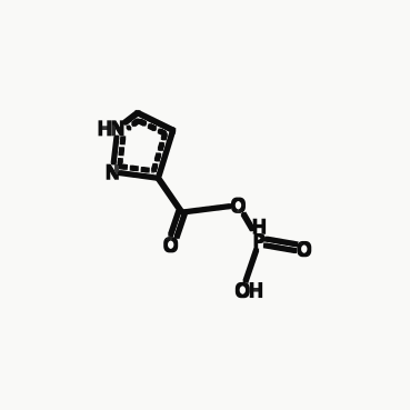 O=C(O[PH](=O)O)c1cc[nH]n1